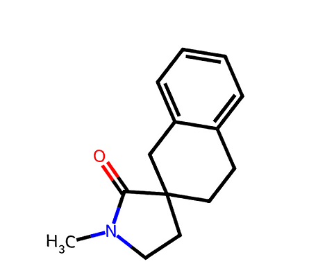 CN1CCC2(CCc3ccccc3C2)C1=O